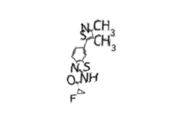 Cc1nsc(-c2ccc3nc(NC(=O)[C@@H]4C[C@@H]4F)sc3c2)c1C